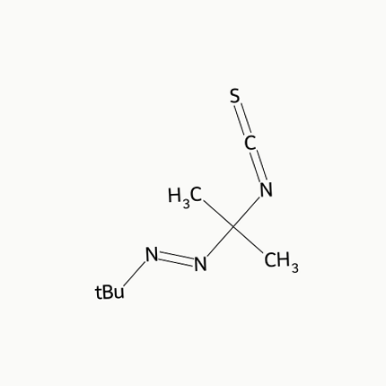 CC(C)(C)/N=N/C(C)(C)N=C=S